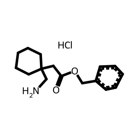 Cl.NCC1(CC(=O)OCc2ccccc2)CCCCC1